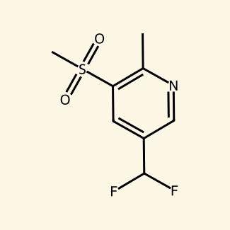 Cc1ncc(C(F)F)cc1S(C)(=O)=O